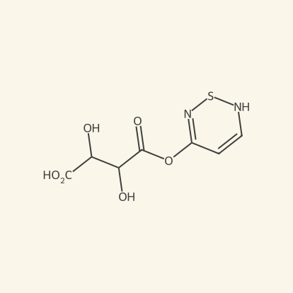 O=C(O)C(O)C(O)C(=O)OC1=NSNC=C1